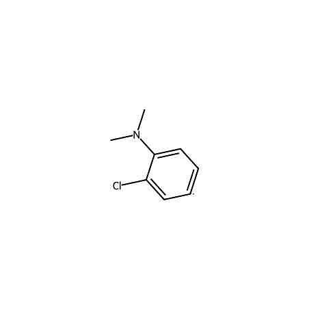 CN(C)c1cc[c]cc1Cl